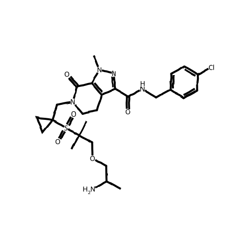 CC(N)COCC(C)(C)S(=O)(=O)C1(CN2CCc3c(C(=O)NCc4ccc(Cl)cc4)nn(C)c3C2=O)CC1